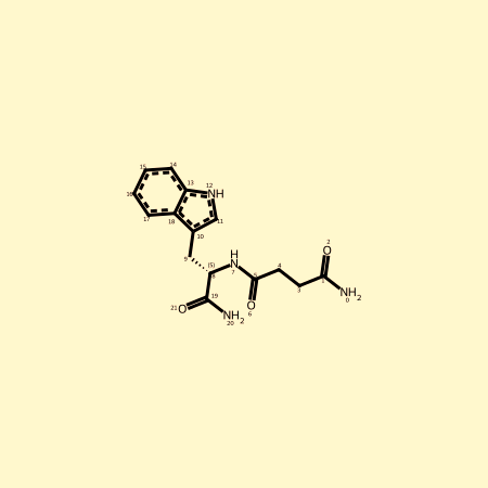 NC(=O)CCC(=O)N[C@@H](Cc1c[nH]c2ccccc12)C(N)=O